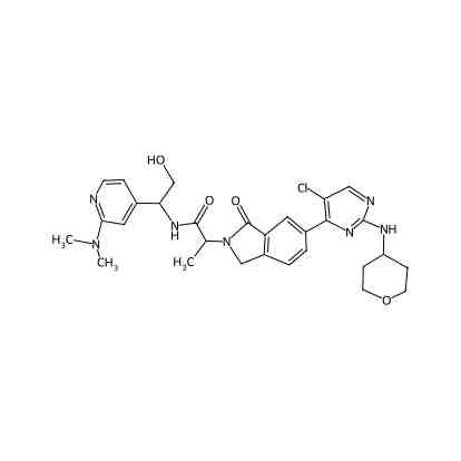 CC(C(=O)NC(CO)c1ccnc(N(C)C)c1)N1Cc2ccc(-c3nc(NC4CCOCC4)ncc3Cl)cc2C1=O